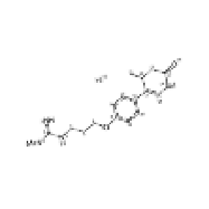 CSC(=N)NCCCOc1ccc(C2=NNC(=O)CC2C)cc1.I